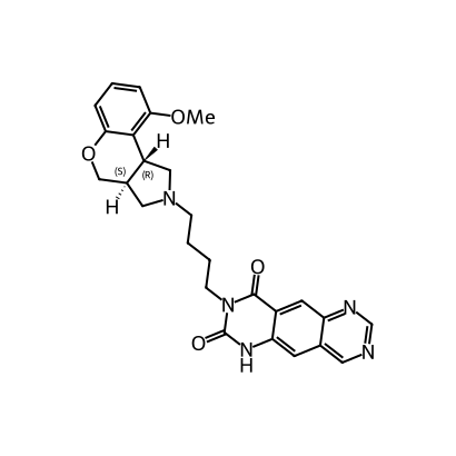 COc1cccc2c1[C@@H]1CN(CCCCn3c(=O)[nH]c4cc5cncnc5cc4c3=O)C[C@H]1CO2